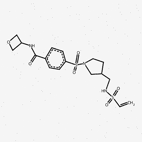 C=CS(=O)(=O)NCC1CCN(S(=O)(=O)c2ccc(C(=O)NC3COC3)cc2)C1